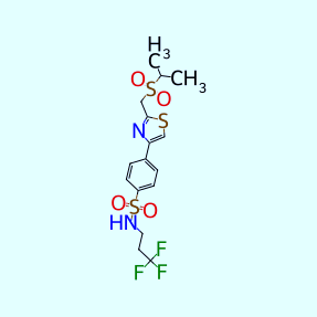 CC(C)S(=O)(=O)Cc1nc(-c2ccc(S(=O)(=O)NCCC(F)(F)F)cc2)cs1